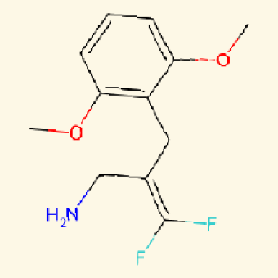 COc1cccc(OC)c1CC(CN)=C(F)F